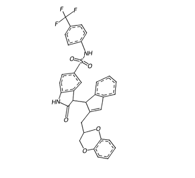 O=C1Nc2ccc(S(=O)(=O)Nc3ccc(C(F)(F)F)cc3)cc2C1C1C(CC2COc3ccccc3O2)=Cc2ccccc21